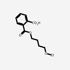 CCOCCCCOC(=O)c1ccccc1C(=O)O